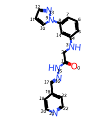 O=C(CNc1cccc(-n2cccn2)c1)N/N=C/c1ccncc1